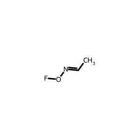 CC=NOF